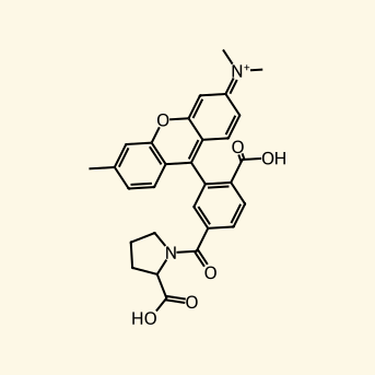 Cc1ccc2c(-c3cc(C(=O)N4CCCC4C(=O)O)ccc3C(=O)O)c3ccc(=[N+](C)C)cc-3oc2c1